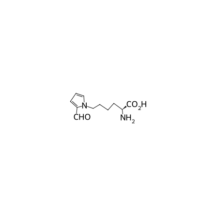 N[C@@H](CCCCn1cccc1C=O)C(=O)O